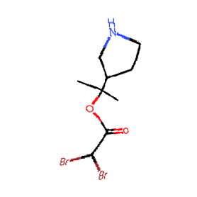 CC(C)(OC(=O)C(Br)Br)C1CCNC1